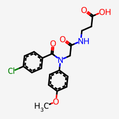 COc1ccc(N(CC(=O)NCCC(=O)O)C(=O)c2ccc(Cl)cc2)cc1